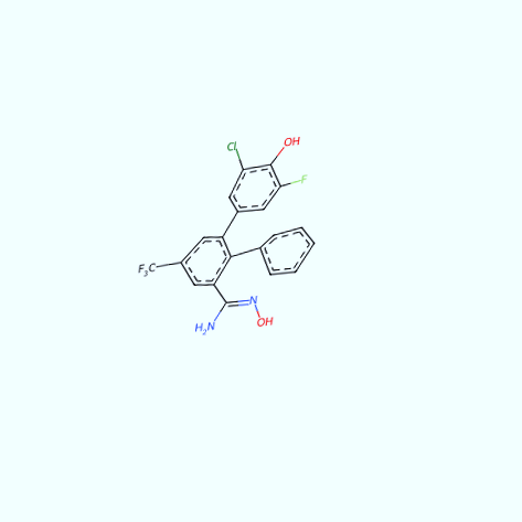 N/C(=N\O)c1cc(C(F)(F)F)cc(-c2cc(F)c(O)c(Cl)c2)c1-c1ccccc1